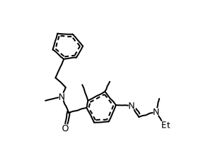 CCN(C)C=Nc1ccc(C(=O)N(C)CCc2ccccc2)c(C)c1C